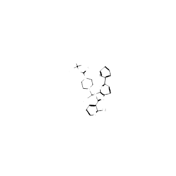 CC(N1CCN(C(=O)OC(C)(C)C)[C@H](C)C1)n1c(-c2cccnc2N)nc2ccc(-c3ccccc3)nc21